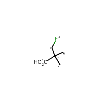 CC(C)(CF)[13C](=O)O